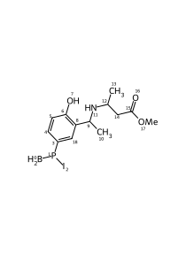 BP(I)c1ccc(O)c(C(C)NC(C)CC(=O)OC)c1